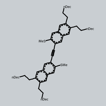 CCCCCCCCCCCCc1cc2cc(C#Cc3cc4cc(CCCCCCCCCCCC)c(CCCCCCCCCCCC)cc4cc3SC)c(SC)cc2cc1CCCCCCCCCCCC